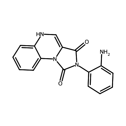 Nc1ccccc1-n1c(=O)c2c[nH]c3ccccc3n-2c1=O